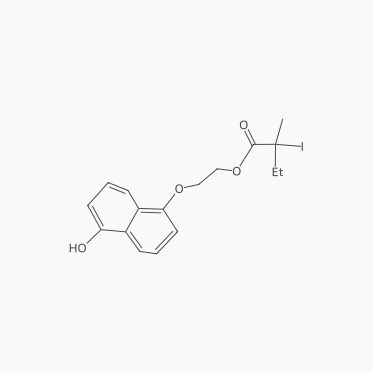 CCC(C)(I)C(=O)OCCOc1cccc2c(O)cccc12